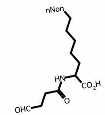 CCCCCCCCCCCCCCC(NC(=O)CCC=O)C(=O)O